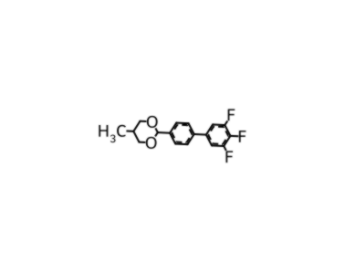 CC1COC(c2ccc(-c3cc(F)c(F)c(F)c3)cc2)OC1